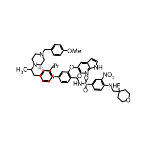 COc1ccc(CN2CCN(C(C)CC3CCN(c4ccc(C(=O)NS(=O)(=O)c5ccc(NCC6(F)CCOCC6)c([N+](=O)[O-])c5)c(Oc5cnc6[nH]ccc6c5)c4)CC3)[C@@H](c3ccccc3C(C)C)C2)cc1